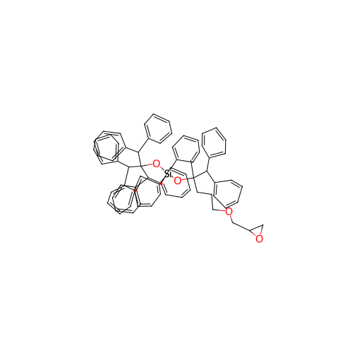 CC(CCCOCC1CO1)(O[Si](OC(C(c1ccccc1)c1ccccc1)(C(c1ccccc1)c1ccccc1)C(c1ccccc1)c1ccccc1)(c1ccccc1)c1ccccc1)C(c1ccccc1)c1ccccc1